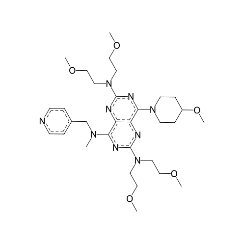 COCCN(CCOC)c1nc(N2CCC(OC)CC2)c2nc(N(CCOC)CCOC)nc(N(C)Cc3ccncc3)c2n1